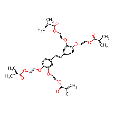 C=C(C)C(=O)O/C=C/Oc1ccc(/C=C/c2ccc(O/C=C/OC(=O)C(=C)C)c(O/C=C/OC(=O)C(=C)C)c2)cc1O/C=C/OC(=O)C(=C)C